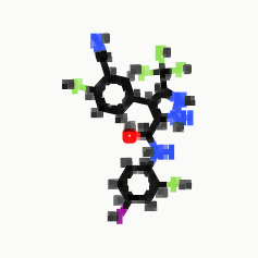 N#Cc1cc(-c2c(C(F)(F)F)n[nH]c2C(=O)Nc2ccc(I)cc2F)ccc1F